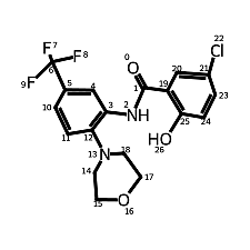 O=C(Nc1cc(C(F)(F)F)ccc1N1CCOCC1)c1cc(Cl)ccc1O